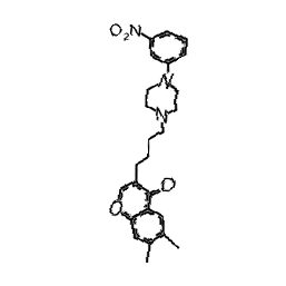 Cc1cc2occ(CCCCN3CCN(c4cccc([N+](=O)[O-])c4)CC3)c(=O)c2cc1C